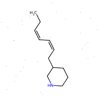 CC/C=C\C=C/CC1CCCNC1